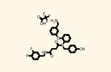 N#Cc1ccc(CN(C(=O)CCC(=O)NCc2ccc(F)c(F)c2)c2ccccc2Oc2cccc(CN)c2)cc1.O=C(O)C(F)(F)F